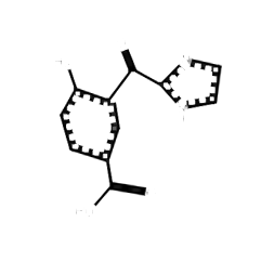 O=C(O)c1ccc(S)c(C(=O)c2ncc[nH]2)c1